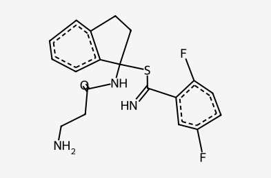 N=C(SC1(NC(=O)CCN)CCc2ccccc21)c1cc(F)ccc1F